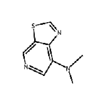 CN(C)c1cncc2scnc12